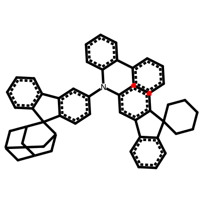 c1ccc(-c2ccccc2N(c2ccc3c(c2)-c2ccccc2C32CCCCC2)c2ccc3c(c2)-c2ccccc2C32C3CC4CC(C3)CC2C4)cc1